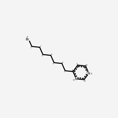 BrCCCCCCCc1ccncn1